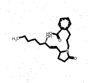 CCCCC[C@@H](O)/C=C/C1CCC(=O)N1CCCc1ccccc1C(=O)O